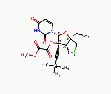 CC[C@@]1(CCl)O[C@@H](n2ccc(=O)[nH]c2=O)[C@@](C#C[Si](C)(C)C)(OC(=O)C(=O)OC)[C@@H]1C